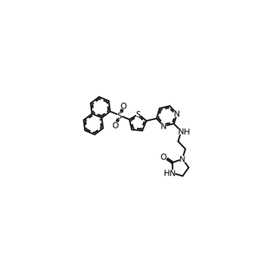 O=C1NCCN1CCNc1nccc(-c2ccc(S(=O)(=O)c3cccc4ccccc34)s2)n1